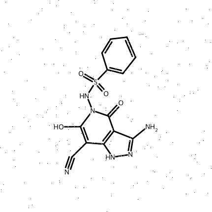 N#Cc1c(O)n(NS(=O)(=O)c2ccccc2)c(=O)c2c(N)n[nH]c12